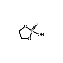 O=P1(O)OCCO1